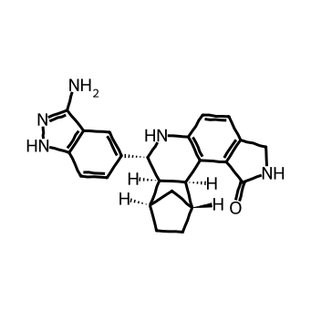 Nc1n[nH]c2ccc([C@@H]3Nc4ccc5c(c4[C@H]4[C@@H]6CC[C@H](C6)[C@H]43)C(=O)NC5)cc12